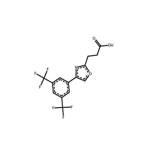 O=C(O)CCc1nc(-c2cc(C(F)(F)F)cc(C(F)(F)F)c2)co1